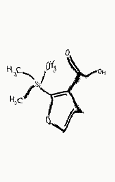 C[Si](C)(C)c1occc1C(=O)O